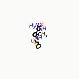 Cc1c(NC(=O)c2cc3c(s2)CCCC3)cccc1-c1c[nH]c(=O)c(N)c1